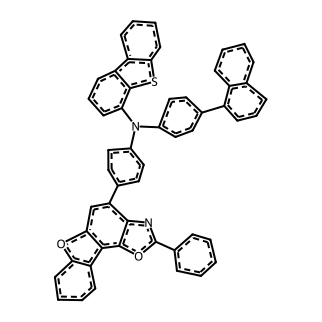 c1ccc(-c2nc3c(-c4ccc(N(c5ccc(-c6cccc7ccccc67)cc5)c5cccc6c5sc5ccccc56)cc4)cc4oc5ccccc5c4c3o2)cc1